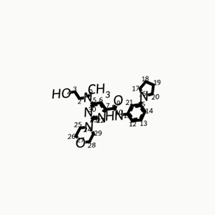 CN(CCO)c1cc(C(=O)Nc2cccc(N3CCCC3)c2)nc(N2CCOCC2)n1